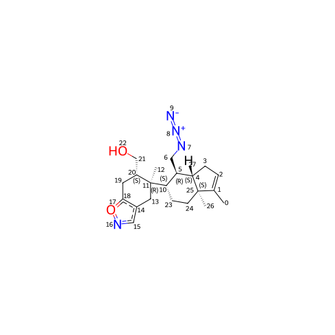 CC1=CC[C@H]2[C@H](CN=[N+]=[N-])[C@@H]([C@@]3(C)Cc4cnoc4C[C@@H]3CO)CC[C@]12C